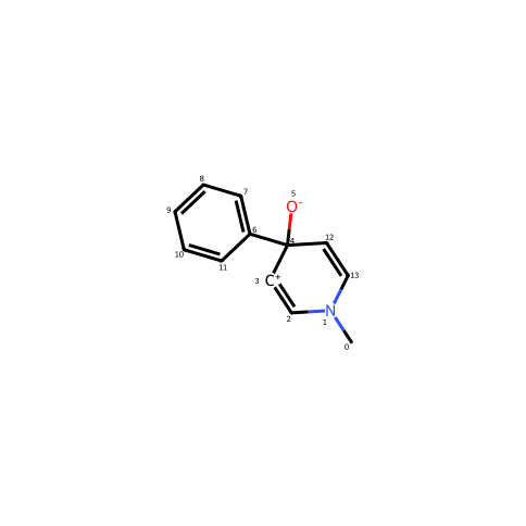 CN1C=[C+]C([O-])(c2ccccc2)C=C1